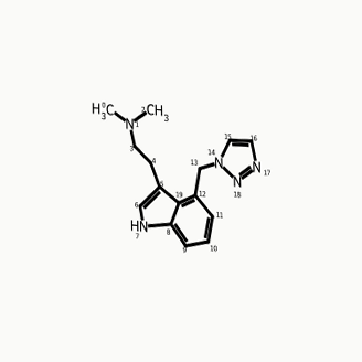 CN(C)CCc1c[nH]c2cccc(Cn3ccnn3)c12